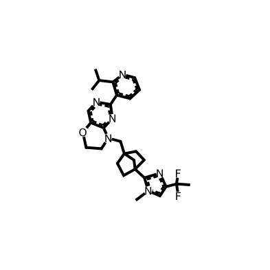 CC(C)c1ncccc1-c1ncc2c(n1)N(CC13CCC(c4nc(C(C)(F)F)cn4C)(CC1)C3)CCO2